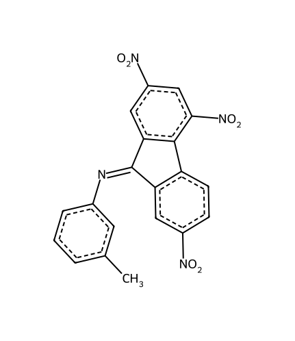 Cc1cccc(/N=C2\c3cc([N+](=O)[O-])ccc3-c3c2cc([N+](=O)[O-])cc3[N+](=O)[O-])c1